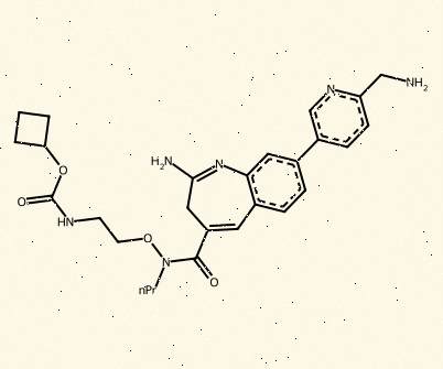 CCCN(OCCNC(=O)OC1CCC1)C(=O)C1=Cc2ccc(-c3ccc(CN)nc3)cc2N=C(N)C1